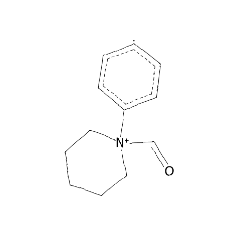 O=C[N+]1(c2cc[c]cc2)CCCCC1